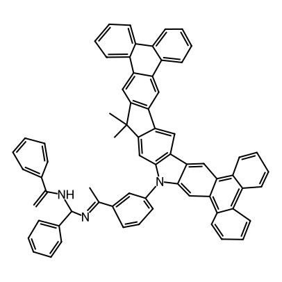 C=C(NC(/N=C(\C)c1cccc(-n2c3cc4c(cc3c3cc5c6ccccc6c6ccccc6c5cc32)-c2cc3c5ccccc5c5ccccc5c3cc2C4(C)C)c1)c1ccccc1)c1ccccc1